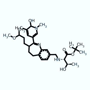 COC(C)CCC1CCc2ccc(CN[C@H](C(=O)OC(C)(C)C)[C@@H](C)O)cc2N=C1C1=CN(C)C(O)C(C)=C1